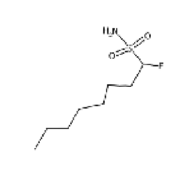 CCCCCCCC(F)S(N)(=O)=O